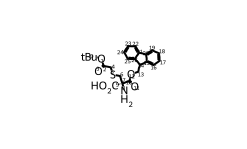 CC(C)(C)OC(=O)CSC[C@@](N)(C(=O)O)C(=O)OCC1c2ccccc2-c2ccccc21